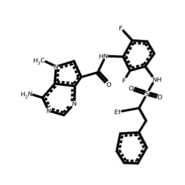 CCC(Cc1ccccc1)S(=O)(=O)Nc1ccc(F)c(NC(=O)c2cn(C)c3c(N)ncnc23)c1F